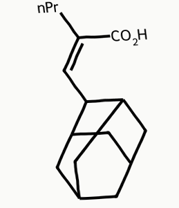 CCCC(=CC1C2CC3CC(C2)CC1C3)C(=O)O